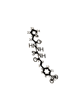 O=C(/C=C/c1ccc([N+](=O)[O-])cc1)NC(=S)NNC(=O)Cc1cccs1